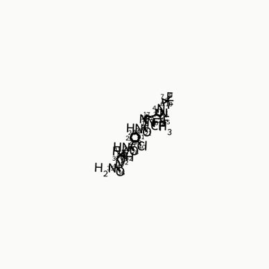 Cn1c(-c2cn(C3CC3(F)F)nc2C(F)(F)F)cnc1C(=O)Nc1ccc(C(=O)N[C@H]2[C@@H]3CN(C(N)=O)C[C@@H]32)c(Cl)c1